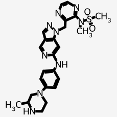 CC1CN(c2ccc(Nc3cc4c(cn3)cnn4Cc3nccnc3N(C)S(C)(=O)=O)cc2)CCN1